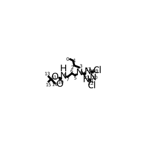 CCCCN(CCCNC(=O)OC(C)(C)C)c1nc(Cl)nc(Cl)n1